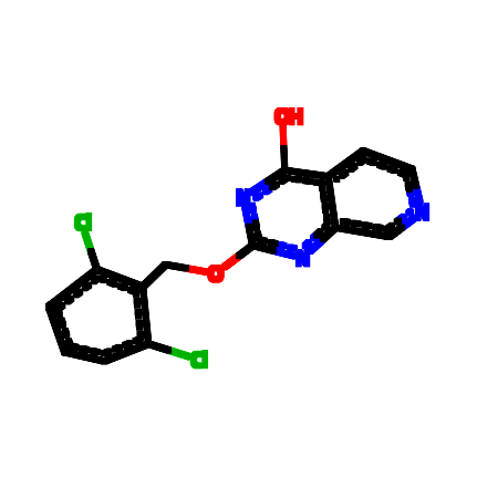 Oc1nc(OCc2c(Cl)cccc2Cl)nc2cnccc12